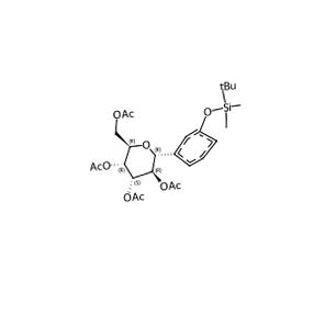 CC(=O)OC[C@H]1O[C@H](c2cccc(O[Si](C)(C)C(C)(C)C)c2)[C@@H](OC(C)=O)[C@H](OC(C)=O)[C@@H]1OC(C)=O